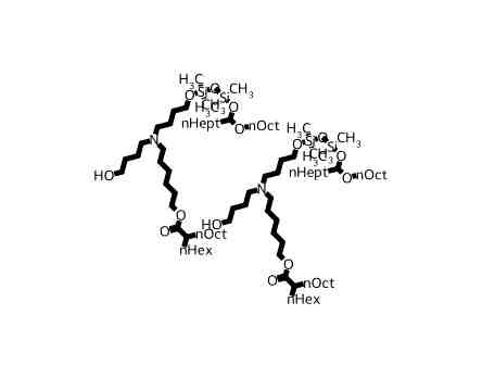 CCCCCCCCOC(CCCCCCC)O[Si](C)(C)O[Si](C)(C)OCCCCN(CCCCO)CCCCCCOC(=O)C(CCCCCC)CCCCCCCC.CCCCCCCCOC(CCCCCCC)O[Si](C)(C)O[Si](C)(C)OCCCCN(CCCCO)CCCCCCOC(=O)C(CCCCCC)CCCCCCCC